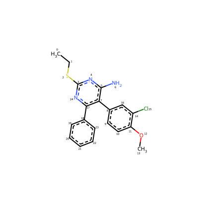 CCSc1nc(N)c(-c2ccc(OC)c(Cl)c2)c(-c2ccccc2)n1